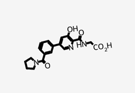 O=C(O)CNC(=O)c1ncc(-c2cc#cc(C(=O)N3CCCC3)c2)cc1O